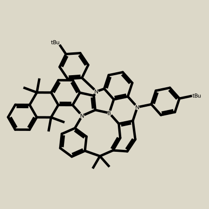 CC(C)(C)c1ccc(N2c3ccc4cc3B3c5c2cccc5N(c2ccc(C(C)(C)C)cc2)c2c3n(c3c5c(ccc23)C(C)(C)c2ccccc2C5(C)C)-c2cccc(c2)C4(C)C)cc1